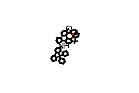 CC1(C)c2ccccc2-c2c1ccc(-c1ccccc1Nc1ccc3c(c1)C(c1ccccc1)(c1ccccc1)c1ccccc1-3)c2-c1cccc2oc3ccccc3c12